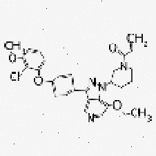 C=CC(=O)N1CCCC(n2nc(-c3ccc(Oc4cccc(OC)c4Cl)cc3)c3cncc(OCC)c32)C1